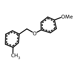 COc1ccc(OCc2cccc(C)c2)cc1